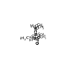 CCNC(=O)c1noc(-c2cc(C(C)C)c(C)cc2OCc2ccccc2)c1-c1ccc2c(c1)CCN(C(=O)OC(C)(C)C)C2